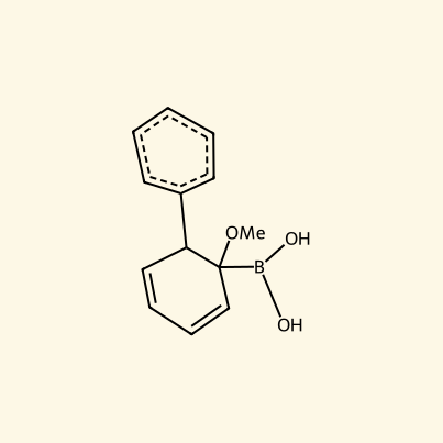 COC1(B(O)O)C=CC=CC1c1ccccc1